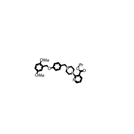 COc1ccc(OC)c(COc2ccc(CN3CCN(c4ncccc4C(=O)OC(C)C)CC3)cc2)c1